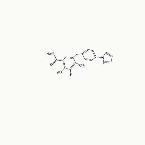 COC(=O)c1cc(Cc2ccc(-n3cccn3)cc2)c(C)c(F)c1O